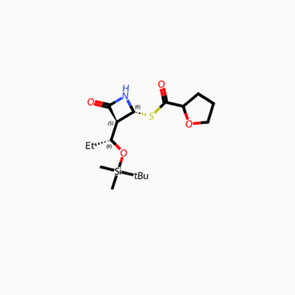 CC[C@@H](O[Si](C)(C)C(C)(C)C)[C@H]1C(=O)N[C@@H]1SC(=O)C1CCCO1